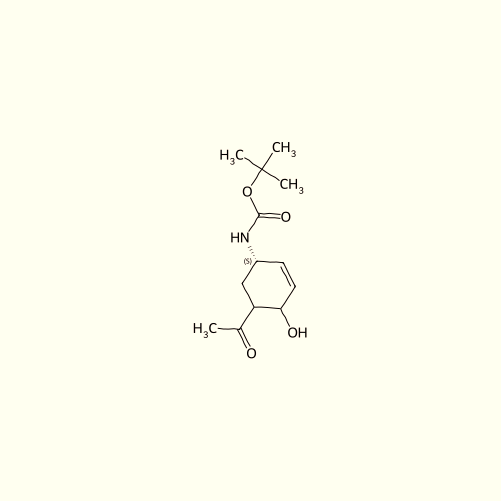 CC(=O)C1C[C@H](NC(=O)OC(C)(C)C)C=CC1O